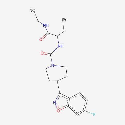 CC(C)CC(NC(=O)N1CCC(c2noc3cc(F)ccc23)CC1)C(=O)NCC#N